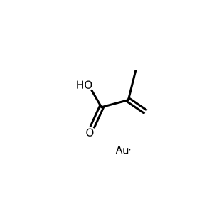 C=C(C)C(=O)O.[Au]